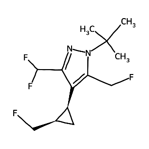 CC(C)(C)n1nc(C(F)F)c([C@H]2C[C@H]2CF)c1CF